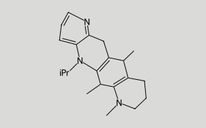 CC1C2=C(C(C)C3=C1Cc1ncccc1N3C(C)C)N(C)CCC2